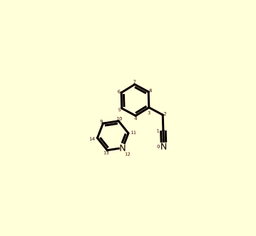 N#CCc1ccccc1.c1ccncc1